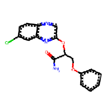 NC(=O)C(COc1ccccc1)Oc1cnc2ccc(Cl)cc2n1